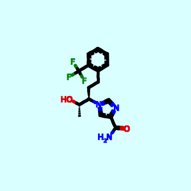 C[C@H](O)[C@@H](CCc1ccccc1C(F)(F)F)n1cnc(C(N)=O)c1